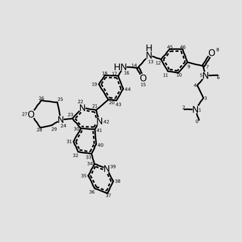 CN(C)CCN(C)C(=O)c1ccc(NC(=O)Nc2ccc(-c3nc(N4CCOCC4)c4ccc(-c5ccccn5)cc4n3)cc2)cc1